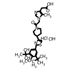 COc1c(C(C)(C)C)cc(-c2nc(C3CCN(C(=O)Cn4cnc(CC(=O)O)c4C)CC3)cs2)cc1C(C)(C)C.Cl.Cl